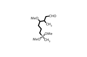 COC(CCC[Si](C)(OC)OC)C(C)CC=O